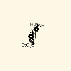 CCOC(=O)CN1CCc2ccc(C(=O)Nc3ccc(C(=N)N)cc3)cc2C1